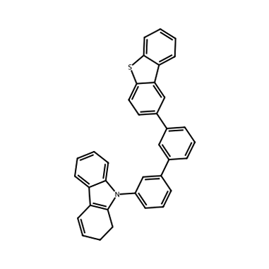 C1=Cc2c(n(-c3cccc(-c4cccc(-c5ccc6sc7ccccc7c6c5)c4)c3)c3ccccc23)CC1